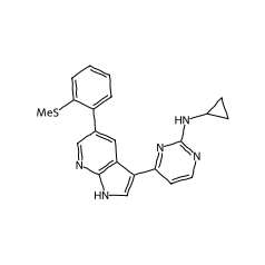 CSc1ccccc1-c1cnc2[nH]cc(-c3ccnc(NC4CC4)n3)c2c1